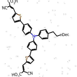 CCCCCCCCCCCCc1ccc(N(c2ccc(-c3ccc(/C=C(\C#N)C(=O)O)s3)cc2)c2ccc(-c3ccc(/C=C(\C#N)C(=O)O)s3)cc2)cc1